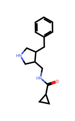 O=C(NCC1CNCC1Cc1ccccc1)C1CC1